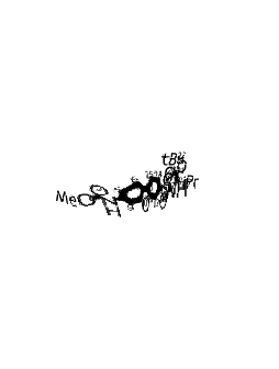 COC(=O)Nc1ccc2c(c1)oc1cc(S(=O)(=O)N[C@H](C(=O)OC(C)(C)C)C(C)C)ccc12